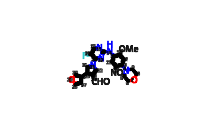 COc1cc(N2CCOCC2)c([N+](=O)[O-])cc1Nc1ncc(F)c(-n2cc(C=O)c(-c3ccoc3)c2)n1